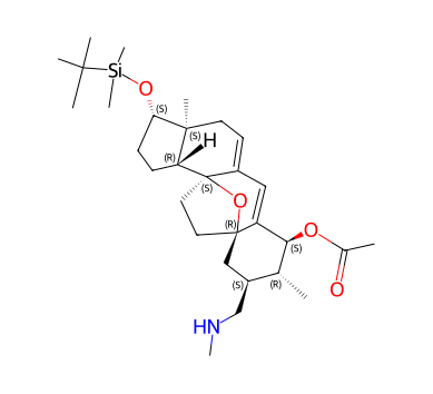 CNC[C@H]1C[C@@]23CC[C@@]4(O2)C(=CC[C@]2(C)[C@@H](O[Si](C)(C)C(C)(C)C)CC[C@H]24)C=C3[C@@H](OC(C)=O)[C@@H]1C